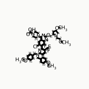 COCCN1C[C@H](OC)C[C@H]1COc1nc(N2CCN(C(=O)O)CC2)c2cc(Cl)c(-c3nc(N(Cc4ccc(OC)cc4)Cc4ccc(OC)cc4)ccc3C(F)(F)F)cc2n1